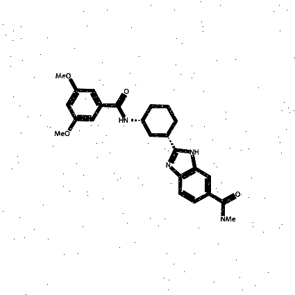 CNC(=O)c1ccc2nc([C@H]3CCC[C@@H](NC(=O)c4cc(OC)cc(OC)c4)C3)[nH]c2c1